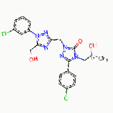 O=c1n(Cc2nc(CO)n(-c3cccc(Cl)c3)n2)nc(-c2ccc(Cl)cc2)n1C[C@H](O)C(F)(F)F